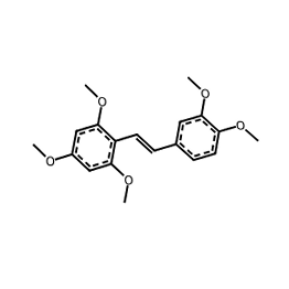 COc1cc(OC)c(C=Cc2ccc(OC)c(OC)c2)c(OC)c1